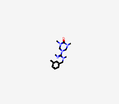 C/N=C(/N(C)Cc1cccc(C)c1)N1CN(C)C(=O)N(C)C1